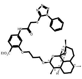 CCOC(=O)c1ccc(NC(=O)CSc2nnnn2-c2ccccc2)cc1OCCCO[C@H]1O[C@@H]2O[C@@]3(C)CCC4[C@H](C)CC[C@@H]([C@H]1C)[C@]42OO3